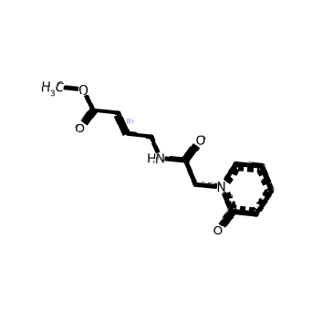 COC(=O)/C=C/CNC(=O)Cn1ccccc1=O